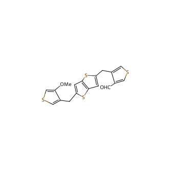 COc1cscc1Cc1cc2sc(Cc3cscc3C=O)cc2s1